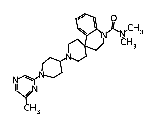 Cc1cncc(N2CCC(N3CCC4(CCN(C(=O)N(C)C)c5ccccc54)CC3)CC2)n1